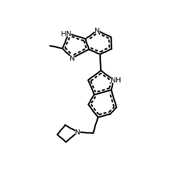 Cc1nc2c(-c3cc4cc(CN5CCC5)ccc4[nH]3)ccnc2[nH]1